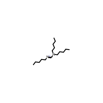 CCCCC/N=[C]/N(CCCCC)CCCCC